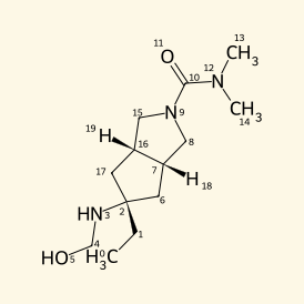 CC[C@]1(NCO)C[C@H]2CN(C(=O)N(C)C)C[C@H]2C1